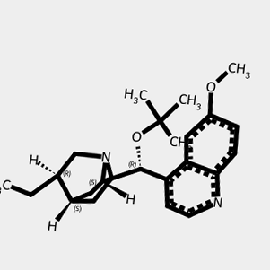 CC[C@H]1CN2CC[C@H]1C[C@H]2[C@H](OC(C)(C)C)c1ccnc2ccc(OC)cc12